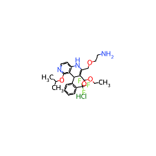 CCOC(=O)C1=C(COCCN)Nc2ccnc(OC(C)C)c2C1c1ccccc1C(F)(F)F.Cl